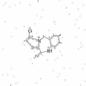 O=C1Nc2ccccc2Cn2c(Cl)ccc21